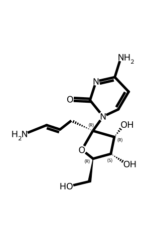 NC=CC[C@@]1(n2ccc(N)nc2=O)O[C@H](CO)[C@@H](O)[C@H]1O